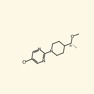 CO[C@H](C)C1CCN(c2ncc(Cl)cn2)CC1